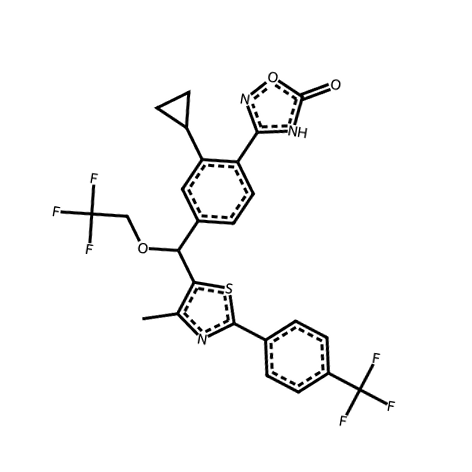 Cc1nc(-c2ccc(C(F)(F)F)cc2)sc1C(OCC(F)(F)F)c1ccc(-c2noc(=O)[nH]2)c(C2CC2)c1